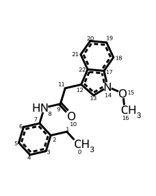 CCc1ccccc1NC(=O)Cc1cn(OC)c2ccccc12